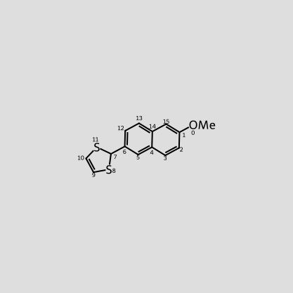 COc1ccc2cc(C3SC=CS3)ccc2c1